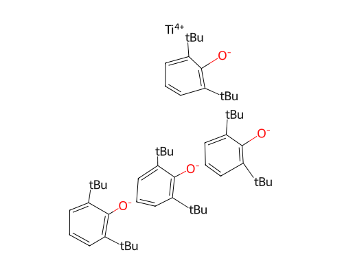 CC(C)(C)c1cccc(C(C)(C)C)c1[O-].CC(C)(C)c1cccc(C(C)(C)C)c1[O-].CC(C)(C)c1cccc(C(C)(C)C)c1[O-].CC(C)(C)c1cccc(C(C)(C)C)c1[O-].[Ti+4]